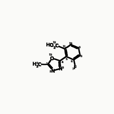 Cc1nnc(-c2c(F)cccc2C(=O)O)o1